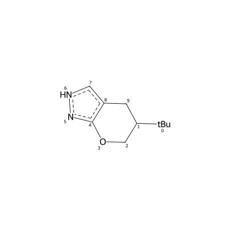 CC(C)(C)C1COc2n[nH]cc2C1